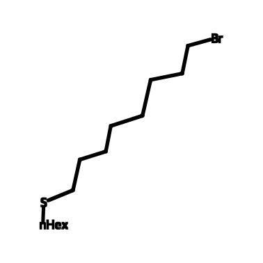 CCCCCCSCCCCCCCCBr